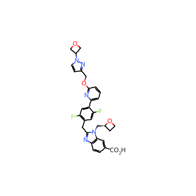 O=C(O)c1ccc2nc(Cc3cc(F)c(-c4cccc(OCc5ccn(C6COC6)n5)n4)cc3F)n(C[C@@H]3CCO3)c2c1